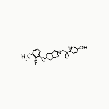 Cc1cccc(OC2CC3CN(CC(=O)c4ccc(O)cn4)CC3C2)c1F